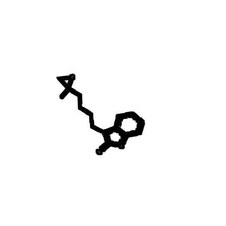 CC1(CCCCn2c(=O)oc3ccccc32)CO1